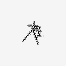 CCCCCCCCCCCCN(C(=O)CCCCCCCCCCC)[C@@H]1O[C@H](CO)[C@@H](O)[C@H](O)[C@@H]1NC(=O)[C@H](CC(C)C)NC(=O)CCC(=O)O